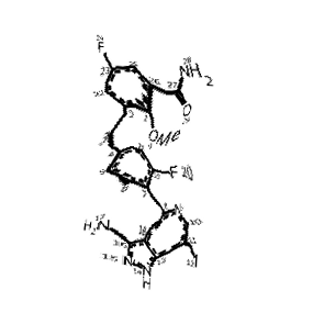 COc1c(Cc2ccc(-c3ncc(I)c4[nH]nc(N)c34)c(F)c2)cc(F)cc1C(N)=O